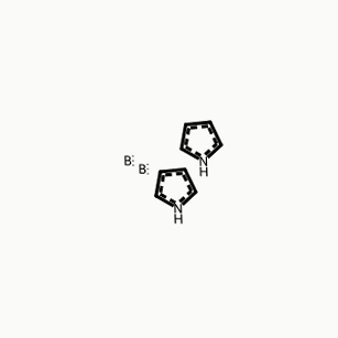 [B].[B].c1cc[nH]c1.c1cc[nH]c1